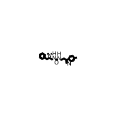 CC1=CC2=NC=C(CCNC(=O)NCC(Cc3ccccc3)N(C)C)C2C=C1